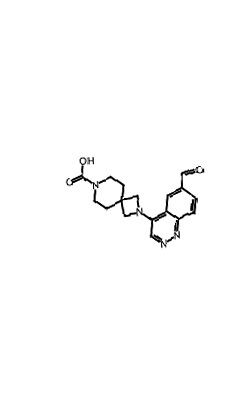 O=Cc1ccc2nncc(N3CC4(CCN(C(=O)O)CC4)C3)c2c1